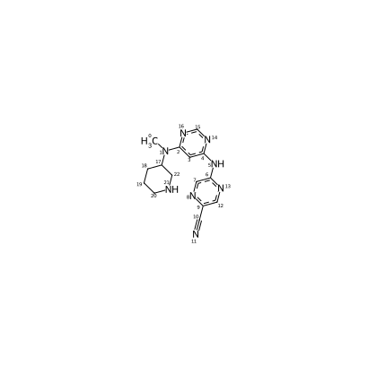 CN(c1cc(Nc2cnc(C#N)cn2)ncn1)C1CCCNC1